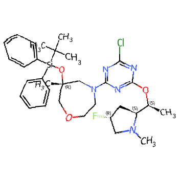 C[C@H](Oc1nc(Cl)nc(N2CCOC[C@](C)(O[Si](c3ccccc3)(c3ccccc3)C(C)(C)C)C2)n1)[C@@H]1C[C@@H](F)CN1C